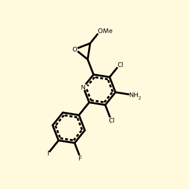 COC1OC1c1nc(-c2ccc(I)c(F)c2)c(Cl)c(N)c1Cl